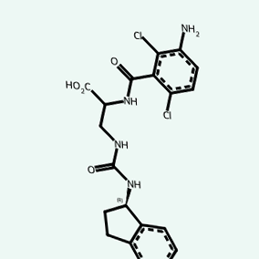 Nc1ccc(Cl)c(C(=O)NC(CNC(=O)N[C@@H]2CCc3ccccc32)C(=O)O)c1Cl